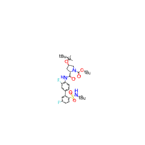 CC(C)(C)NS(=O)(=O)c1ccc(F)cc1-c1ccc(NC(=O)[C@H]2C[C@@H](O[Si](C)(C)C(C)(C)C)CN2C(=O)OC(C)(C)C)c(F)c1